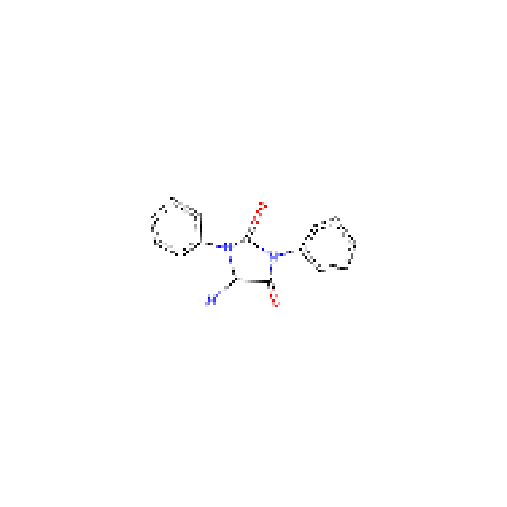 NC1C(=O)N(c2ccccc2)C(=O)N1c1ccccc1